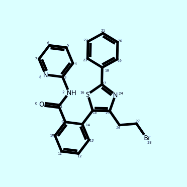 O=C(Nc1ccccn1)c1ccccc1-c1sc(-c2ccccc2)nc1CCBr